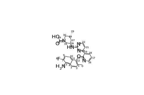 Cc1ccc2c(N)c(F)ccc2c1Oc1ncccc1-c1ccnc(NC2C[C@@H](C)CN(C(=O)O)C2)n1